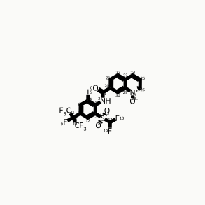 O=C(Nc1c(I)cc(C(F)(C(F)(F)F)C(F)(F)F)cc1S(=O)(=O)C(F)F)c1ccc2ccc[n+]([O-])c2c1